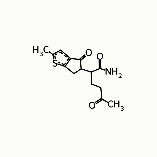 CC(=O)CCC(C(N)=O)C1Cc2sc(C)cc2C1=O